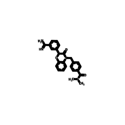 CN(C)C(=O)c1ccc(CN2C(=O)C(c3cccc(C(=N)N)c3)Oc3ccccc32)cc1